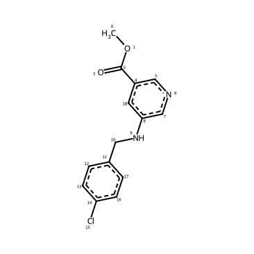 COC(=O)c1cncc(NCc2ccc(Cl)cc2)c1